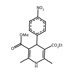 CCOC(=O)C1=C(C)NC(C)=C(C(=O)OC)C1c1ccc([N+](=O)[O-])cc1